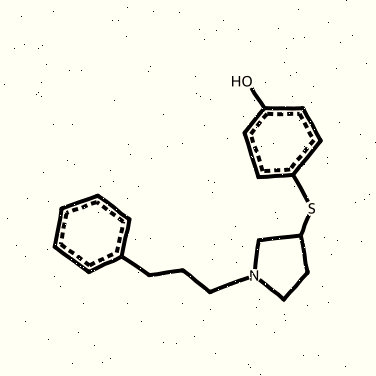 Oc1ccc(SC2CCN(CCCc3ccccc3)C2)cc1